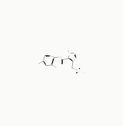 COS(=O)(=O)Cc1cnn(C)c1C(=O)Nc1ccc(Br)cc1C